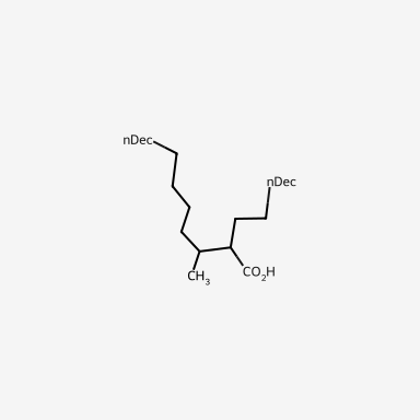 CCCCCCCCCCCCCCC(C)C(CCCCCCCCCCCC)C(=O)O